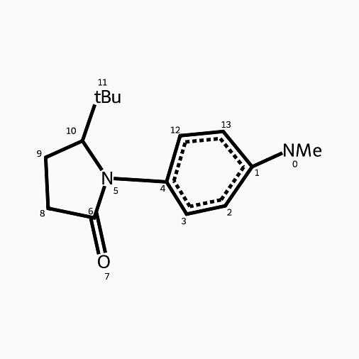 CNc1ccc(N2C(=O)CCC2C(C)(C)C)cc1